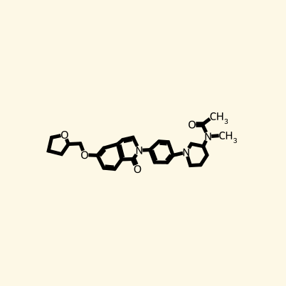 CC(=O)N(C)C1CCCN(c2ccc(-n3ccc4cc(OCC5CCCO5)ccc4c3=O)cc2)C1